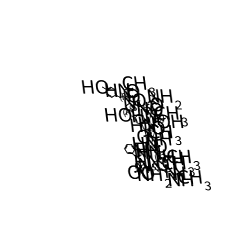 CNC(=N)NCCC[C@H](NC(=O)[C@H](CC(C)C)NC(=O)NNC(=O)[C@](C)(Cc1ccccc1)NC(=O)[C@@H](NC(=O)[C@H](CC(N)=O)NC(=O)[C@@H]1C[C@@H](O)CN1C(=O)[C@@H](Cc1ccc(O)cc1)NC(C)=O)[C@@H](C)O)C(=O)N[C@@H](Cc1c[nH]c2ccccc12)C(N)=O